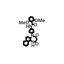 COc1cccc(OC)c1C(=O)Nc1ccc(N2C(=O)CC(=O)Nc3c2ccc2ccccc32)cc1